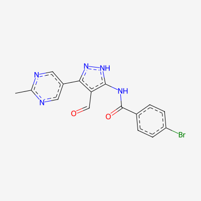 Cc1ncc(-c2n[nH]c(NC(=O)c3ccc(Br)cc3)c2C=O)cn1